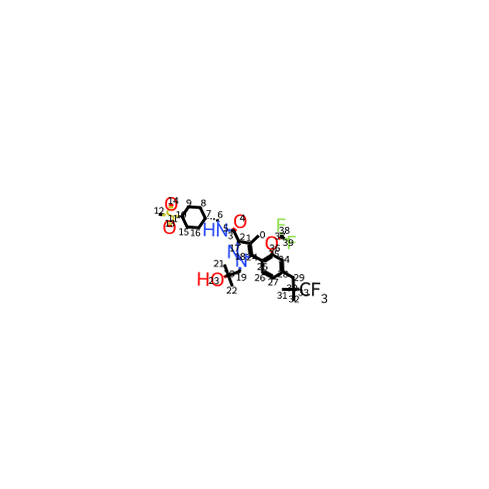 Cc1c(C(=O)NC[C@H]2CC[C@H](S(C)(=O)=O)CC2)nn(CC(C)(C)O)c1-c1ccc(CC(C)(C)C(F)(F)F)cc1OC(F)F